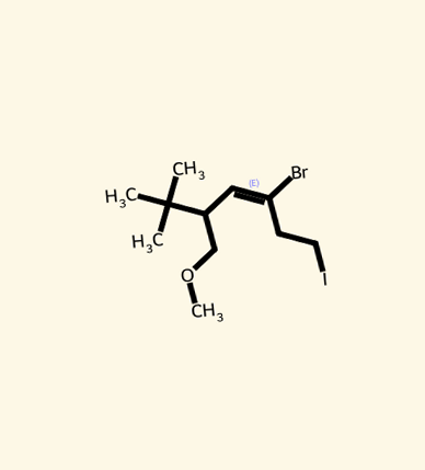 COCC(/C=C(/Br)CCI)C(C)(C)C